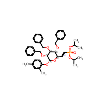 Cc1ccc(O[C@H]2O[C@H](/C=C/P(=O)(OC(C)C)OC(C)C)[C@@H](OCc3ccccc3)[C@H](OCc3ccccc3)[C@@H]2OCc2ccccc2)c(C)c1